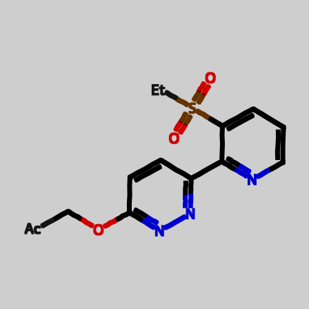 CCS(=O)(=O)c1cccnc1-c1ccc(OCC(C)=O)nn1